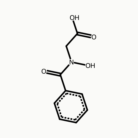 O=C(O)CN(O)C(=O)c1ccccc1